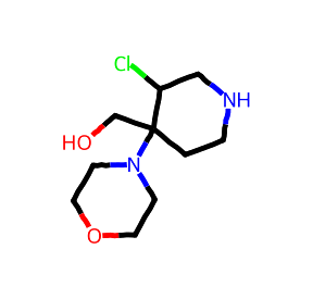 OCC1(N2CCOCC2)CCNCC1Cl